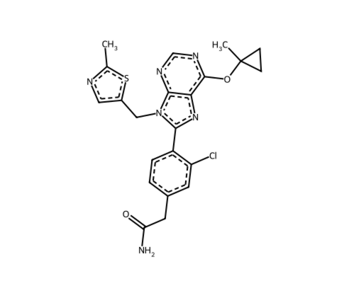 Cc1ncc(Cn2c(-c3ccc(CC(N)=O)cc3Cl)nc3c(OC4(C)CC4)ncnc32)s1